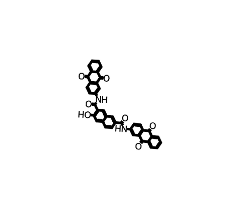 O=C(Nc1ccc2c(c1)C(=O)c1ccccc1C2=O)c1ccc2cc(O)c(C(=O)Nc3ccc4c(c3)C(=O)c3ccccc3C4=O)cc2c1